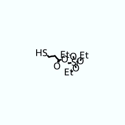 CCO[Si](COC(=O)CCS)(OCC)OCC